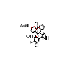 CC(=O)NCCNc1ccccc1C(c1nc[nH]c1-c1ccc(F)c(Cl)c1)C(OC=O)c1cccc(Cl)c1F